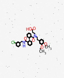 CCOc1cc(CCN(CCC(=O)O)C(=O)c2ccccc2-c2ccccc2C(=O)NCc2cccc(Cl)c2)ccc1OC